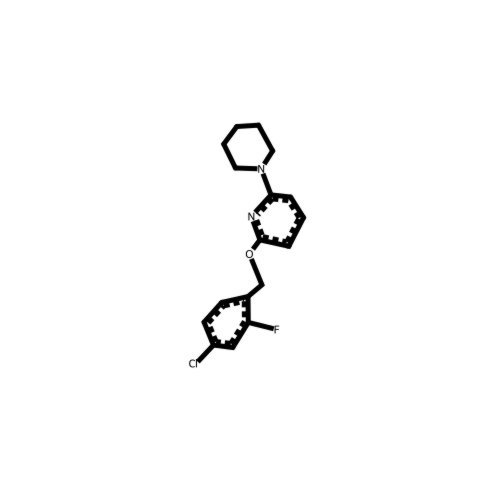 Fc1cc(Cl)ccc1COc1cccc(N2CCCCC2)n1